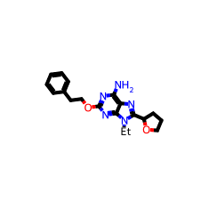 CCn1c(C2CCCO2)nc2c(N)nc(OCCc3ccccc3)nc21